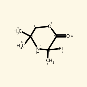 CCC1(C)NC(C)(C)COC1=O